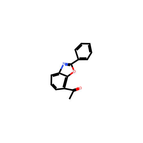 CC(=O)c1cccc2nc(-c3ccccc3)oc12